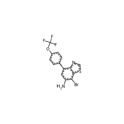 Nc1cc(-c2ccc(OC(F)(F)F)cc2)c2ncsc2c1Br